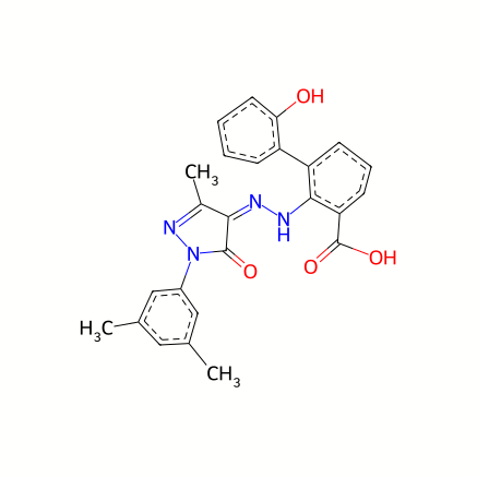 CC1=NN(c2cc(C)cc(C)c2)C(=O)C1=NNc1c(C(=O)O)cccc1-c1ccccc1O